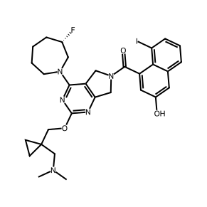 CN(C)CC1(COc2nc3c(c(N4CCCC[C@H](F)C4)n2)CN(C(=O)c2cc(O)cc4cccc(I)c24)C3)CC1